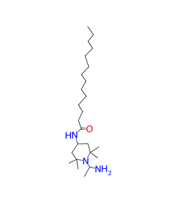 CCCCCCCCCCCCCC(=O)NC1CC(C)(C)N(C(C)N)C(C)(C)C1